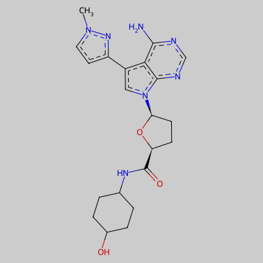 Cn1ccc(-c2cn([C@H]3CC[C@@H](C(=O)NC4CCC(O)CC4)O3)c3ncnc(N)c23)n1